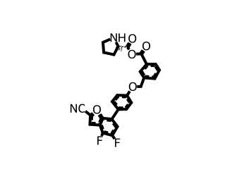 N#Cc1cc2c(F)c(F)cc(-c3ccc(OCc4cccc(C(=O)OC(=O)[C@@H]5CCCN5)c4)cc3)c2o1